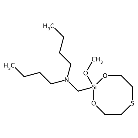 CCCCN(CCCC)C[Si]1(OC)OCCSCCO1